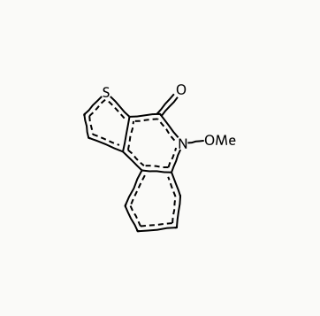 COn1c(=O)c2sccc2c2ccccc21